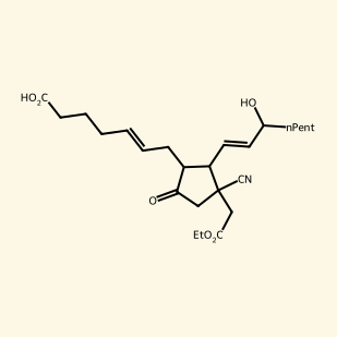 CCCCCC(O)C=CC1C(CC=CCCCC(=O)O)C(=O)CC1(C#N)CC(=O)OCC